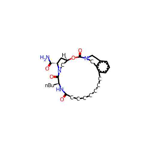 CCCC[C@@H]1NC(=O)CCCCCCCc2cccc3c2CN(C3)C(=O)O[C@@H]2C[C@@H](C(N)=O)N(C2)C1=O